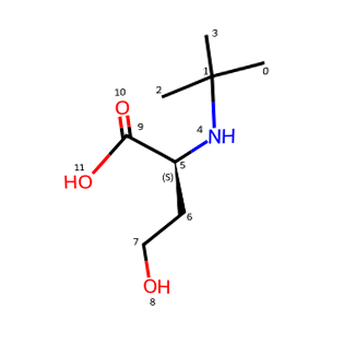 CC(C)(C)N[C@@H](CCO)C(=O)O